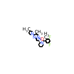 Cc1cn2nc([C@@H]3CCCCN3C(=O)c3cc(F)cc(F)c3C)cc2nc1N1CC[C@H](C)C1